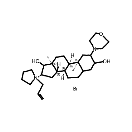 C=CC[N+]1(C2C[C@H]3[C@@H]4CCC5CC(O)C(N6CCOCC6)C[C@]5(C)[C@@H]4CC[C@]3(C)C2O)CCCC1.[Br-]